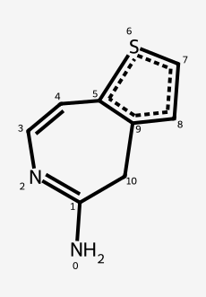 NC1=NC=Cc2sccc2C1